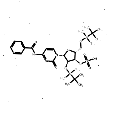 CC(C)(C)[Si](C)(C)OC[C@H]1O[C@@H](n2ccc(NC(=O)c3ccccc3)nc2=O)[C@H](O[Si](C)(C)C(C)(C)C)[C@@H]1OS(=O)(=O)O